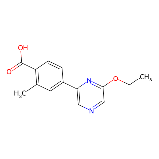 CCOc1cncc(-c2ccc(C(=O)O)c(C)c2)n1